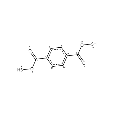 O=C(OS)c1ccc(C(=O)OS)cc1